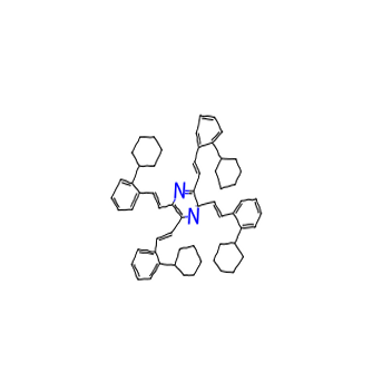 C(=C\c1nc(/C=C/c2ccccc2C2CCCCC2)c(/C=C/c2ccccc2C2CCCCC2)nc1/C=C/c1ccccc1C1CCCCC1)/c1ccccc1C1CCCCC1